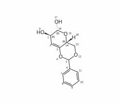 O[C@@H]1C=C2OC(c3ccccc3)OC[C@H]2O[C@H]1O